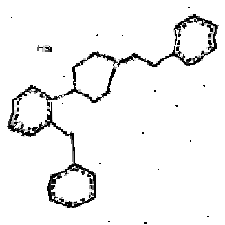 Br.c1ccc(CCN2CCC(c3ccccc3Cc3ccccc3)CC2)cc1